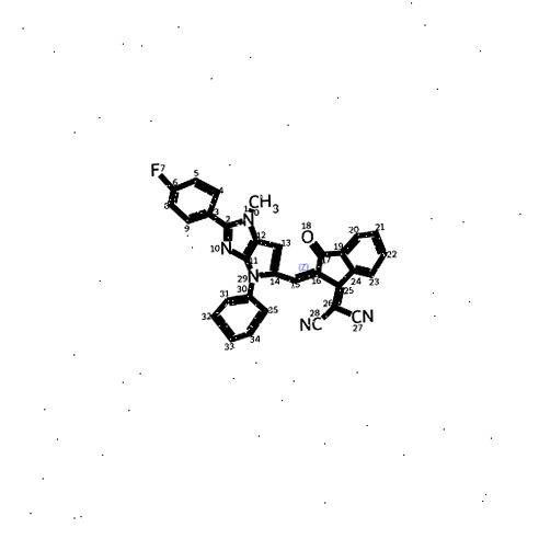 Cn1c(-c2ccc(F)cc2)nc2c1cc(/C=C1\C(=O)c3ccccc3C1=C(C#N)C#N)n2-c1ccccc1